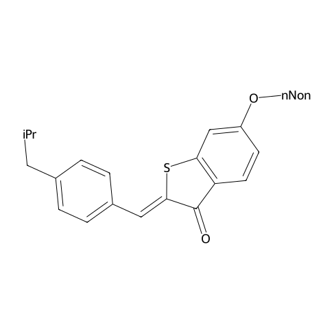 CCCCCCCCCOc1ccc2c(c1)SC(=Cc1ccc(CC(C)C)cc1)C2=O